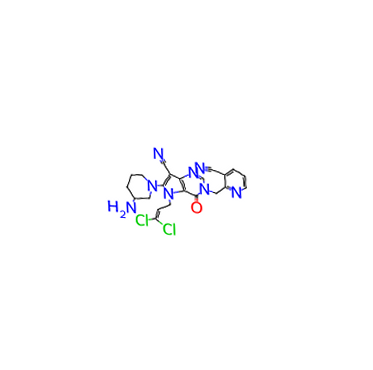 N#Cc1cccnc1Cn1cnc2c(C#N)c(N3CCCC(N)C3)n(CC=C(Cl)Cl)c2c1=O